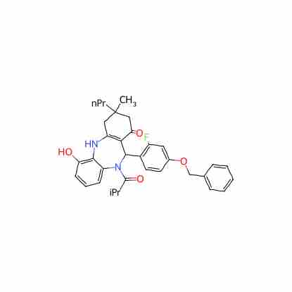 CCCC1(C)CC(=O)C2=C(C1)Nc1c(O)cccc1N(C(=O)C(C)C)C2c1ccc(OCc2ccccc2)cc1F